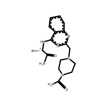 CC(C)[C@H](Nc1nc(CN2CCN(C(N)=O)CC2)nc2ccccc12)C(N)=O